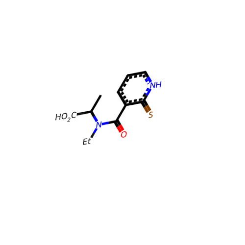 CCN(C(=O)c1ccc[nH]c1=S)C(C)C(=O)O